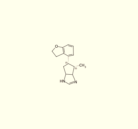 C[C@@H]1C2N=CNC2C[C@@H]1c1cccc2c1CCO2